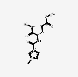 C[n+]1ccn(C(=O)N[C@@H](CCC(=O)OC(C)(C)C)C(=O)OC(C)(C)C)c1